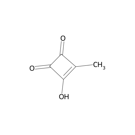 Cc1c(O)c(=O)c1=O